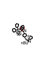 CCCCc1nc2cccnc2n1Cc1ccc(-c2nc3ccccn3c2-c2nnnn2C(c2ccccc2)(c2ccccc2)c2ccccc2)cc1